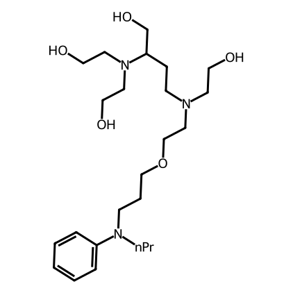 CCCN(CCCOCCN(CCO)CCC(CO)N(CCO)CCO)c1ccccc1